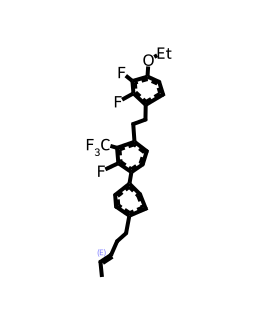 C/C=C/CCc1ccc(-c2ccc(CCc3ccc(OCC)c(F)c3F)c(C(F)(F)F)c2F)cc1